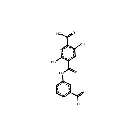 O=C(O)c1cccc(NC(=O)c2cc(O)c(C(=O)O)cc2O)c1